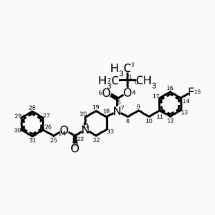 CC(C)(C)OC(=O)N(CCCc1ccc(F)cc1)C1CCN(C(=O)OCc2ccccc2)CC1